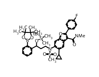 CNC(=O)c1c(-c2ccc(F)cc2)oc2cc(N(CCC(O[Si](C)(C)C(C)(C)C)c3ccccc3B3OC(C)(C)C(C)(C)O3)S(C)(=O)=O)c(C3CC3)cc12